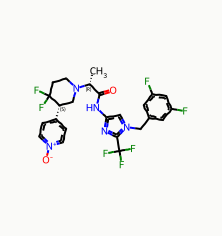 C[C@H](C(=O)Nc1cn(Cc2cc(F)cc(F)c2)c(C(F)(F)F)n1)N1CCC(F)(F)[C@@H](c2cc[n+]([O-])cc2)C1